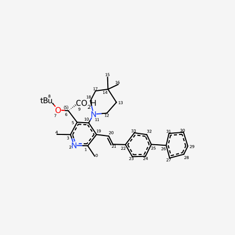 Cc1nc(C)c([C@H](OC(C)(C)C)C(=O)O)c(N2CCC(C)(C)CC2)c1C=Cc1ccc(-c2ccccc2)cc1